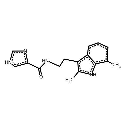 Cc1[nH]c2c(C)cccc2c1CCNC(=O)c1c[nH]cn1